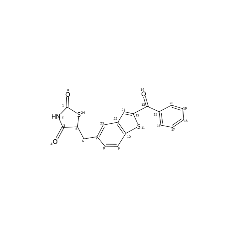 O=C1NC(=O)C(Cc2ccc3sc(C(=O)c4ccccc4)cc3c2)S1